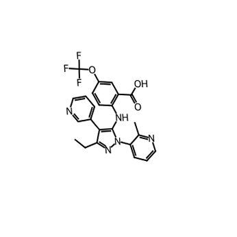 CCc1nn(-c2cccnc2C)c(Nc2ccc(OC(F)(F)F)cc2C(=O)O)c1-c1cccnc1